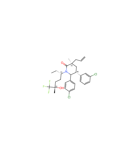 C=CC[C@@]1(C)C[C@H](c2cccc(Cl)c2)C(c2ccc(Cl)cc2)N([C@@H](CC)CC[C@](C)(O)C(F)(F)F)C1=O